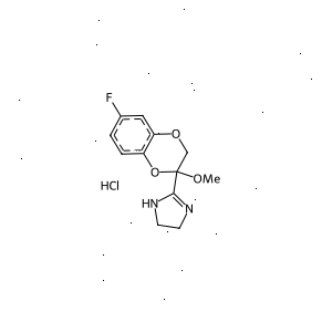 COC1(C2=NCCN2)COc2cc(F)ccc2O1.Cl